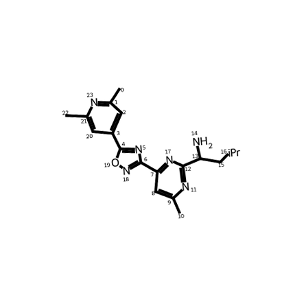 Cc1cc(-c2nc(-c3cc(C)nc(C(N)CC(C)C)n3)no2)cc(C)n1